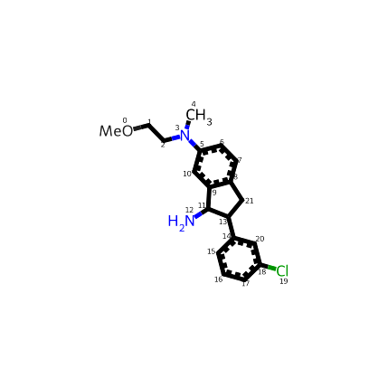 COCCN(C)c1ccc2c(c1)C(N)C(c1cccc(Cl)c1)C2